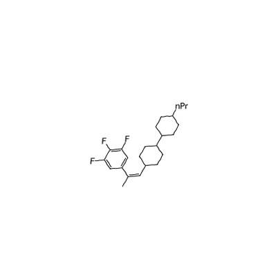 CCCC1CCC(C2CCC(C=C(C)c3cc(F)c(F)c(F)c3)CC2)CC1